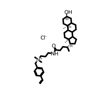 C=Cc1ccc(C[N+](C)(C)CCCNC(=O)CCC(C)[C@H]2CCC3C4CCC5C[C@H](O)CC[C@]5(C)C4CC[C@@]32C)cc1.[Cl-]